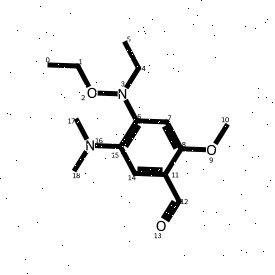 CCON(CC)c1cc(OC)c(C=O)cc1N(C)C